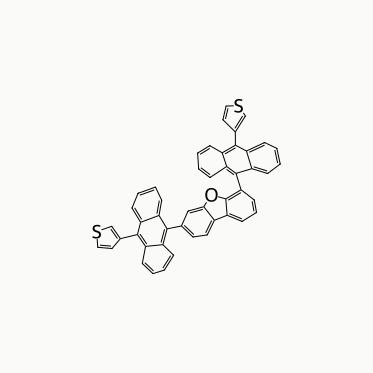 c1ccc2c(-c3ccc4c(c3)oc3c(-c5c6ccccc6c(-c6ccsc6)c6ccccc56)cccc34)c3ccccc3c(-c3ccsc3)c2c1